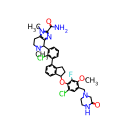 COc1c(CN2CCNC(=O)C2)cc(Cl)c(OC2CCc3c(-c4cccc(C5c6nc(C(N)=O)n(C)c6CCN5C)c4Cl)cccc32)c1F